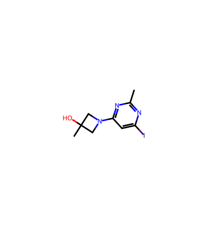 Cc1nc(I)cc(N2CC(C)(O)C2)n1